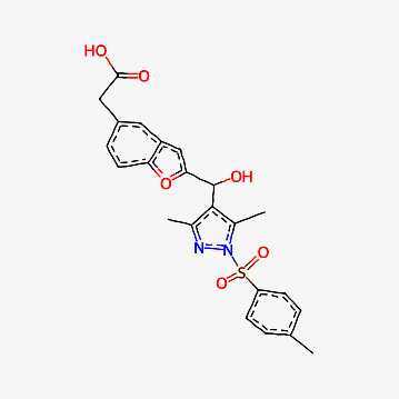 Cc1ccc(S(=O)(=O)n2nc(C)c(C(O)c3cc4cc(CC(=O)O)ccc4o3)c2C)cc1